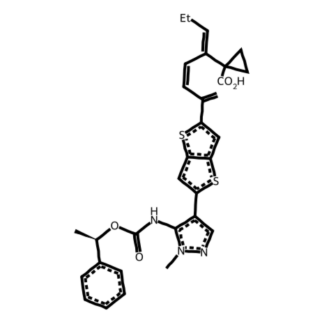 C=C(/C=C\C(=C/CC)C1(C(=O)O)CC1)c1cc2sc(-c3cnn(C)c3NC(=O)O[C@H](C)c3ccccc3)cc2s1